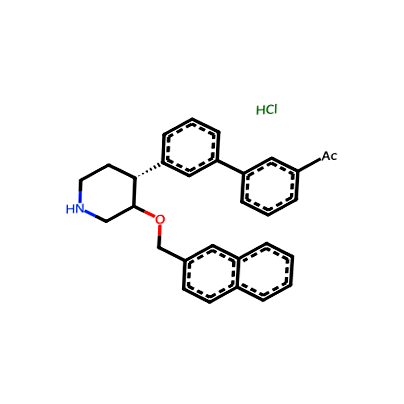 CC(=O)c1cccc(-c2cccc([C@H]3CCNCC3OCc3ccc4ccccc4c3)c2)c1.Cl